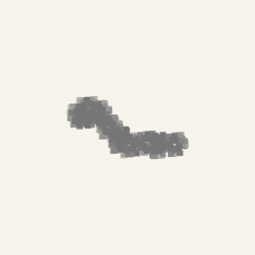 c1ccc(-c2ccc3cc(-c4ccc5ccc(-c6ccc(-c7ccc8ccc9cccnc9c8n7)cc6)nc5c4)ccc3n2)cc1